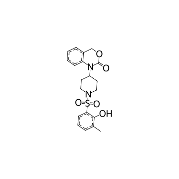 Cc1cccc(S(=O)(=O)N2CCC(N3C(=O)OCc4ccccc43)CC2)c1O